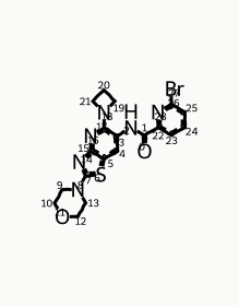 O=C(Nc1cc2sc(N3CCOCC3)nc2nc1N1CCC1)c1cccc(Br)n1